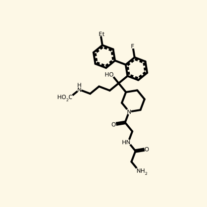 CCc1cccc(-c2c(F)cccc2C(O)(CCCNC(=O)O)C2CCCN(C(=O)CNC(=O)CN)C2)c1